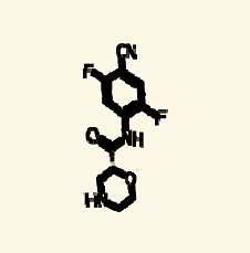 N#Cc1cc(F)c(NC(=O)[C@H]2CNCCO2)cc1F